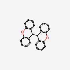 c1ccc2c(c1)Oc1ccccc1C2C1c2ccccc2Oc2ccccc21